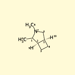 CC1[C@@H]2CC[C@@H]2CN1C